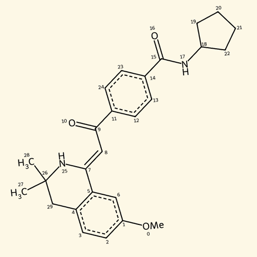 COc1ccc2c(c1)C(=CC(=O)c1ccc(C(=O)NC3CCCC3)cc1)NC(C)(C)C2